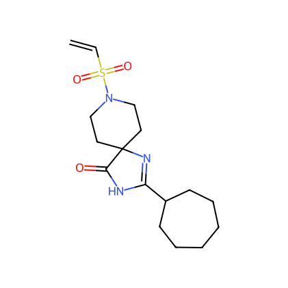 C=CS(=O)(=O)N1CCC2(CC1)N=C(C1CCCCCC1)NC2=O